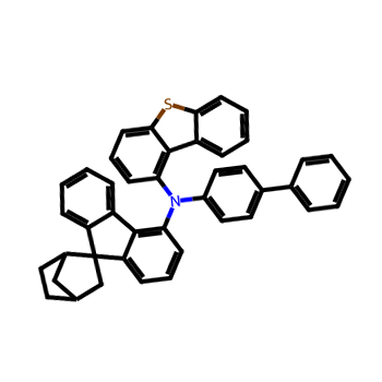 c1ccc(-c2ccc(N(c3cccc4c3-c3ccccc3C43CC4CCC3C4)c3cccc4sc5ccccc5c34)cc2)cc1